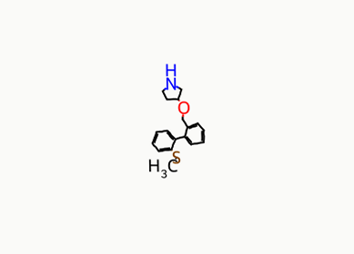 CSc1ccccc1-c1ccccc1COC1CCNC1